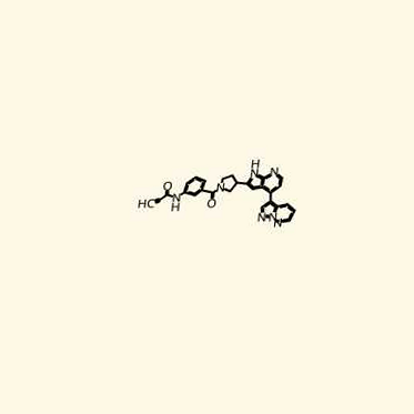 C#CC(=O)Nc1cccc(C(=O)N2CCC(c3cc4c(-c5cnn6ncccc56)ccnc4[nH]3)C2)c1